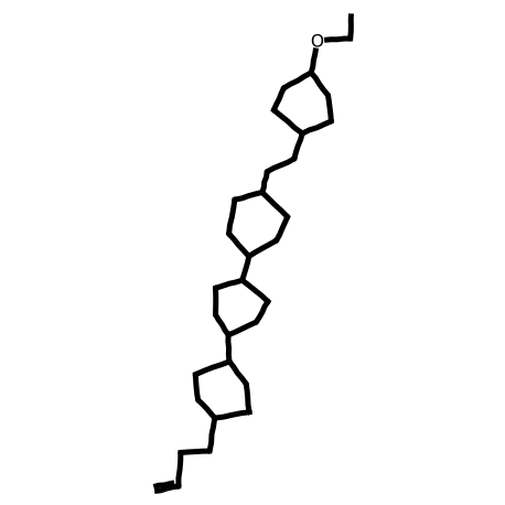 C=CCCC1CCC(C2CCC(C3CCC(CCC4CCC(OCC)CC4)CC3)CC2)CC1